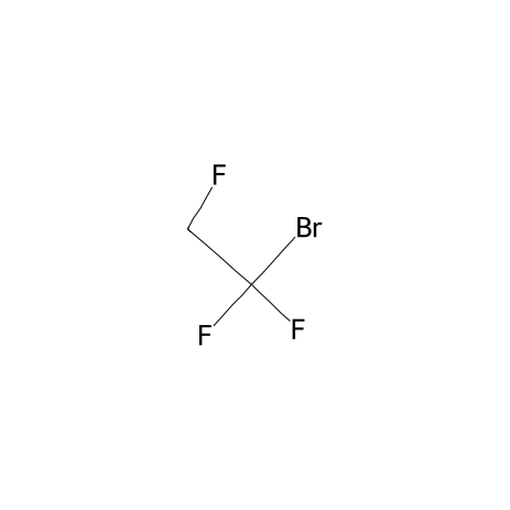 FCC(F)(F)Br